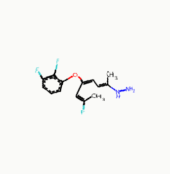 C\C(F)=C/C(=C\C=C(/C)NN)Oc1cccc(F)c1F